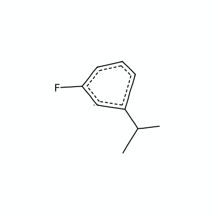 CC(C)c1[c]c(F)ccc1